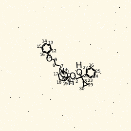 OC(CO[C@@H]1C[N+]2(CCCOc3ccccc3)CCC1CC2)(c1ccccc1)C1CC1